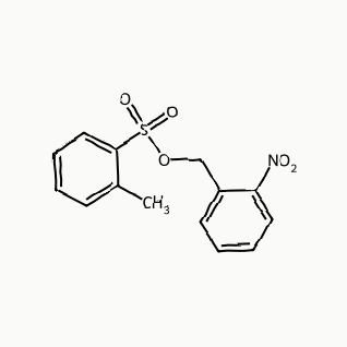 Cc1ccccc1S(=O)(=O)OCc1ccccc1[N+](=O)[O-]